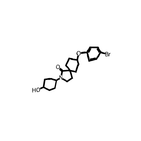 O=C1N(C2CCC(O)CC2)CCC12CCC(Oc1ccc(Br)cc1)CC2